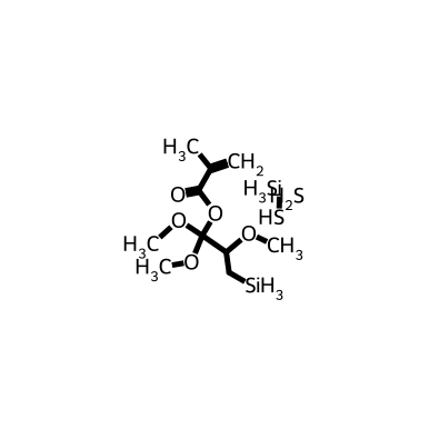 C=C(C)C(=O)OC(OC)(OC)C(C[SiH3])OC.S.[SiH3]S